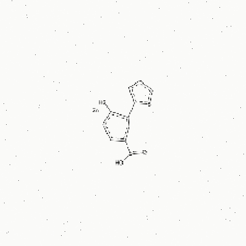 O=S(O)c1ccc(S)c(-c2cccs2)c1.[Zn]